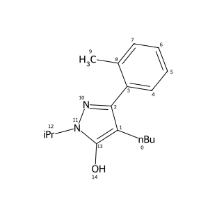 CCCCc1c(-c2ccccc2C)nn(C(C)C)c1O